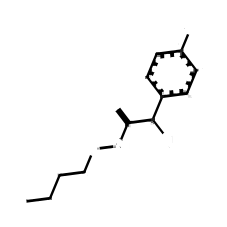 CCCCONC(=O)C(Cl)c1ccc(Cl)cc1